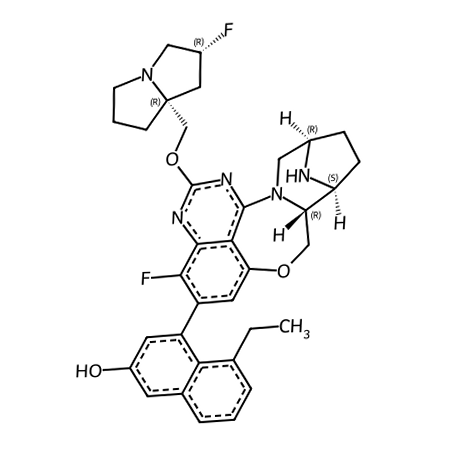 CCc1cccc2cc(O)cc(-c3cc4c5c(nc(OC[C@]67CCCN6C[C@H](F)C7)nc5c3F)N3C[C@H]5CC[C@H](N5)[C@@H]3CO4)c12